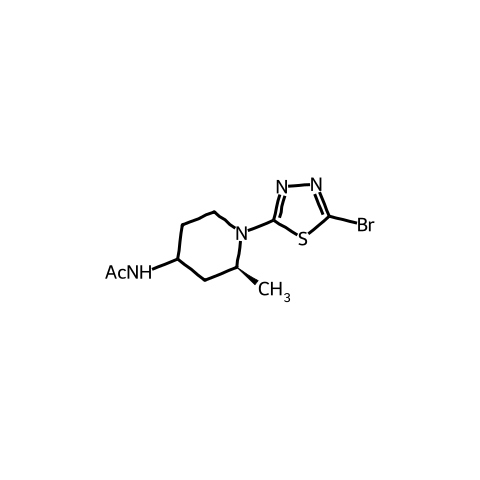 CC(=O)NC1CCN(c2nnc(Br)s2)[C@@H](C)C1